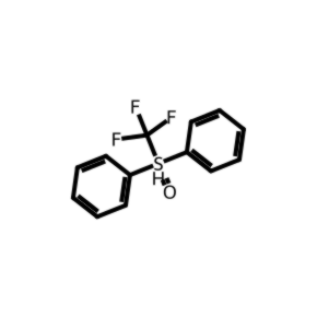 O=[SH](c1ccccc1)(c1ccccc1)C(F)(F)F